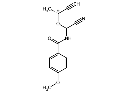 C#C[C@@H](C)OC(C#N)NC(=O)c1ccc(OC)cc1